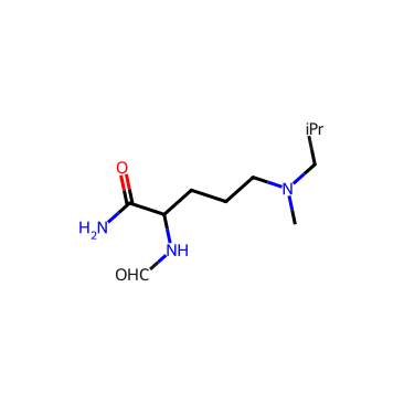 CC(C)CN(C)CCCC(NC=O)C(N)=O